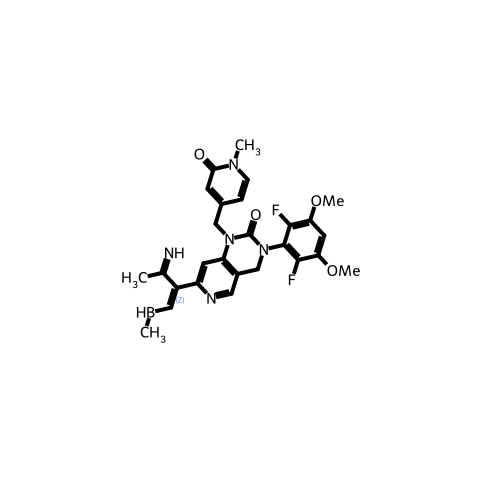 CB/C=C(\C(C)=N)c1cc2c(cn1)CN(c1c(F)c(OC)cc(OC)c1F)C(=O)N2Cc1ccn(C)c(=O)c1